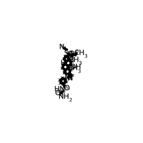 CCC(=O)O[C@]1(C(=O)SCC#N)CCC2[C@@H]3CCC4=Cc5c(cnn5-c5cccc(C(=O)NCC(N)=O)c5)C[C@]4(C)C3[C@@H](O)C[C@@]21C